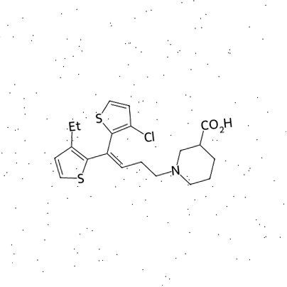 CCc1ccsc1C(=CCCN1CCCC(C(=O)O)C1)c1sccc1Cl